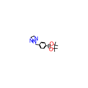 CC1(C)OB(c2ccc(Cn3nccn3)cc2)OC1(C)C